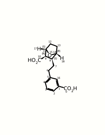 O=C(O)c1cccc(CC[C@H]2[C@@H](C(=O)O)[C@@H]3CC[C@H]2O3)c1